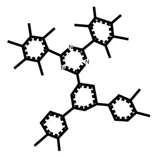 Cc1ccc(-c2cc(-c3ccc(C)c(C)c3)cc(-c3nc(-c4c(C)c(C)c(C)c(C)c4C)nc(-c4c(C)c(C)c(C)c(C)c4C)n3)c2)cc1C